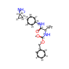 CC(C)C(NC(=O)OCc1ccccc1)C(=O)Nc1ccc([C@@H]2C[C@H]2N)cc1